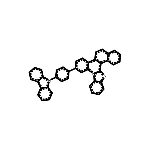 c1ccc2c(c1)ccc1c3ccc(-c4ccc(-n5c6ccccc6c6ccccc65)cc4)cc3n3c4ccccc4nc3c21